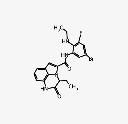 CCNc1c(F)cc(Br)cc1NC(=O)c1cc2cccc3c2n1C(CC)C(=O)N3